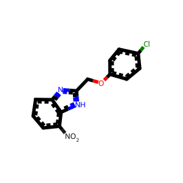 O=[N+]([O-])c1cccc2nc(COc3ccc(Cl)cc3)[nH]c12